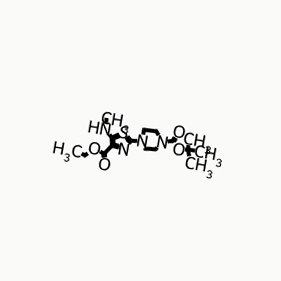 CCOC(=O)c1nc(N2CCN(C(=O)OC(C)(C)C)CC2)sc1NC